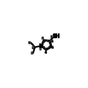 CC(C)n1ccc(S)c1